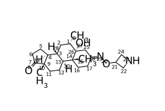 C[C@H]1C[C@H]2[C@@H]3CCC(=O)[C@@]3(C)CC[C@@H]2[C@@]2(C)CCC(=NOC3CNC3)C[C@]12O